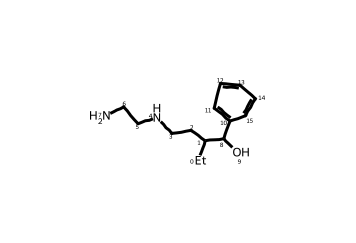 CCC(CCNCCN)C(O)c1ccccc1